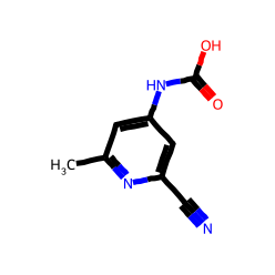 Cc1cc(NC(=O)O)cc(C#N)n1